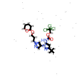 CC(C)(C)c1cc(NC(=O)OCC(Cl)(Cl)Cl)n(-c2cnn(CCCOC3CCCCO3)c2)n1